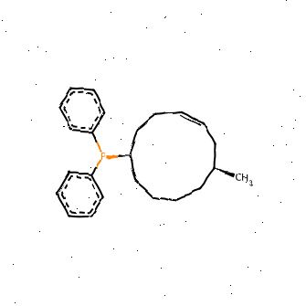 C[C@@H]1C/C=C\CC[C@H](P(c2ccccc2)c2ccccc2)CCCC1